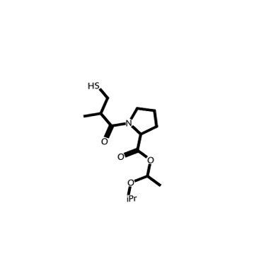 CC(C)OC(C)OC(=O)C1CCCN1C(=O)C(C)CS